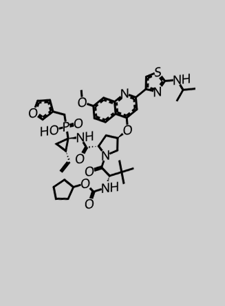 C=C[C@@H]1C[C@]1(NC(=O)[C@@H]1C[C@@H](Oc2cc(-c3csc(NC(C)C)n3)nc3cc(OC)ccc23)CN1C(=O)[C@@H](NC(=O)OC1CCCC1)C(C)(C)C)P(=O)(O)Cc1ccoc1